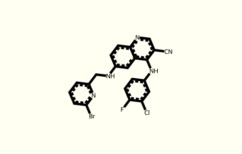 N#Cc1cnc2ccc(NCc3cccc(Br)n3)cc2c1Nc1ccc(F)c(Cl)c1